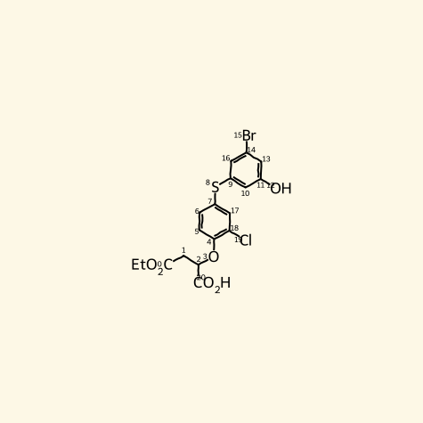 CCOC(=O)CC(Oc1ccc(Sc2cc(O)cc(Br)c2)cc1Cl)C(=O)O